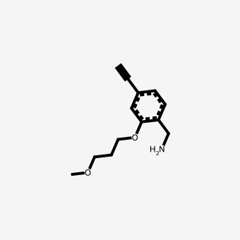 C#Cc1ccc(CN)c(OCCCOC)c1